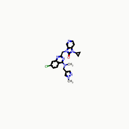 CN(Cc1cnn(C)c1)c1nc(Cn2c(=O)n(C3CC3)c3ccncc32)nc2cc(Cl)ccc12